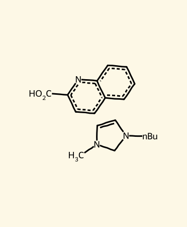 CCCCN1C=CN(C)C1.O=C(O)c1ccc2ccccc2n1